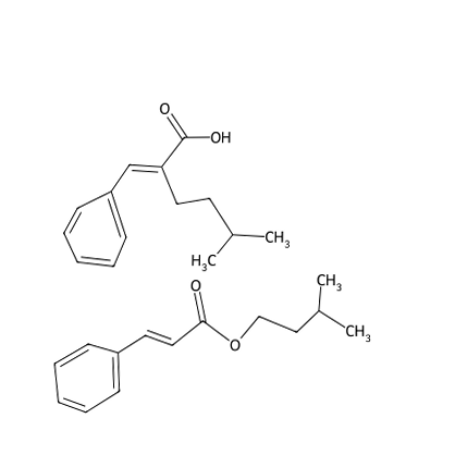 CC(C)CC/C(=C\c1ccccc1)C(=O)O.CC(C)CCOC(=O)C=Cc1ccccc1